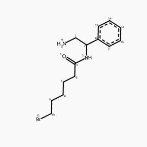 NCC(NC(=O)CCCCCBr)c1ccccc1